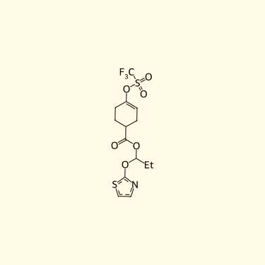 CCC(OC(=O)C1CC=C(OS(=O)(=O)C(F)(F)F)CC1)Oc1nccs1